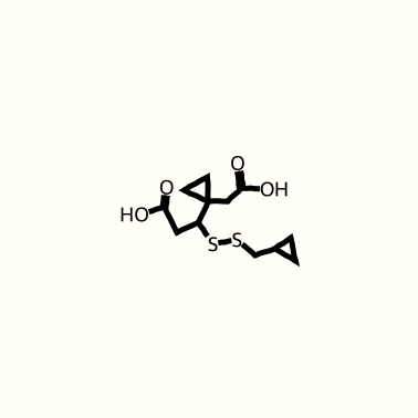 O=C(O)CC(SSCC1CC1)C1(CC(=O)O)CC1